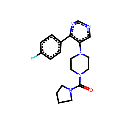 O=C(N1CCCC1)N1CCN(c2cncnc2-c2ccc(F)cc2)CC1